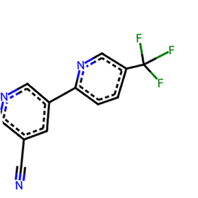 N#Cc1cncc(-c2ccc(C(F)(F)F)cn2)c1